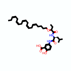 CC/C=C\C/C=C\C/C=C\C/C=C\C/C=C\CCCCOC(CC)C(=O)N[C@@H](CC(C)C)C(=O)Nc1ccc(O)c(C(=O)O)c1